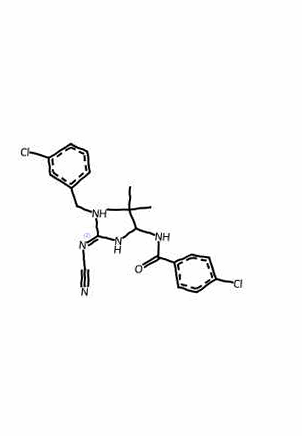 CC(C)(C)C(NC(=O)c1ccc(Cl)cc1)N/C(=N\C#N)NCc1cccc(Cl)c1